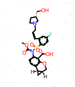 COC(=O)N(c1ccc2c(c1C(=O)O)OC[C@@H]1C[C@H]21)S(=O)(=O)c1ccc(F)cc1/C=C\CN1CC[C@H](CO)C1